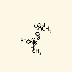 CCCCCN(CCOc1ccc(CC(OCC)C(=O)O)cc1)C(=O)Nc1ccc(Br)cc1